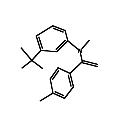 C=C(c1ccc(C)cc1)N(C)c1cccc(C(C)(C)C)c1